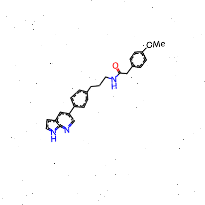 COc1ccc(CC(=O)NCCCc2ccc(-c3cnc4[nH]ccc4c3)cc2)cc1